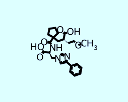 COCC[C@H](CC1(C(=O)N[C@@H](Cn2cnc(-c3ccccc3)c2)C(=O)O)CCCC1)C(=O)O